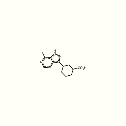 O=C(O)N1CCCC(c2n[nH]c3c(Cl)nccc23)C1